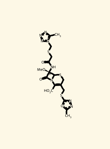 CO[C@]1(NC(=O)CSCn2nnnc2C)C(=O)N2C(C(=O)O)=C(CSc3nnc(C)o3)CSC21